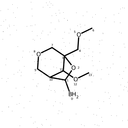 BC1OC2(COC)COCC1C2OC